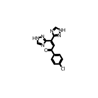 O=C(C=C(c1nc[nH]n1)c1nc[nH]n1)c1ccc(Cl)cc1